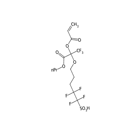 C=CC(=O)OC(OCCCC(F)(F)C(F)(F)S(=O)(=O)O)(C(=O)OCCC)C(F)(F)F